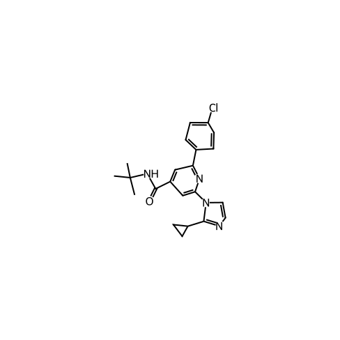 CC(C)(C)NC(=O)c1cc(-c2ccc(Cl)cc2)nc(-n2ccnc2C2CC2)c1